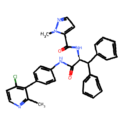 Cc1nccc(Cl)c1-c1ccc(NC(=O)[C@@H](NC(=O)c2ccnn2C)C(c2ccccc2)c2ccccc2)cc1